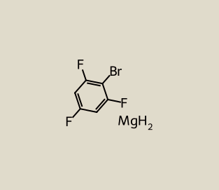 Fc1cc(F)c(Br)c(F)c1.[MgH2]